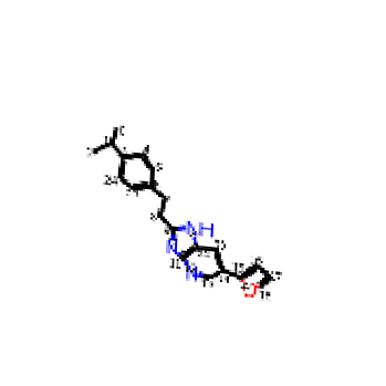 CC(C)c1ccc(CCc2nc3ncc(-c4ccco4)cc3[nH]2)cc1